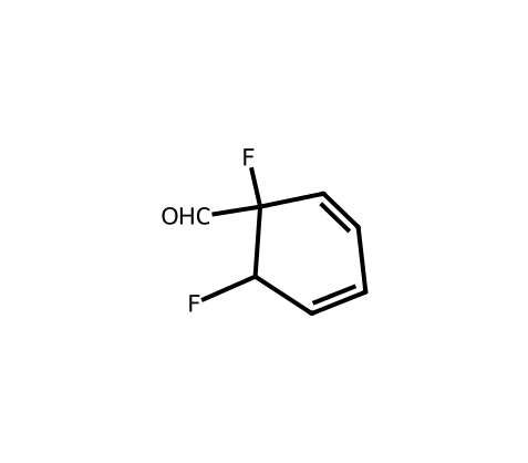 O=CC1(F)C=CC=CC1F